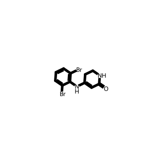 O=C1C=C(Nc2c(Br)cccc2Br)CCN1